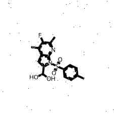 Cc1ccc(S(=O)(=O)n2c(C(O)O)cc3c(C)c(F)c(C)nc32)cc1